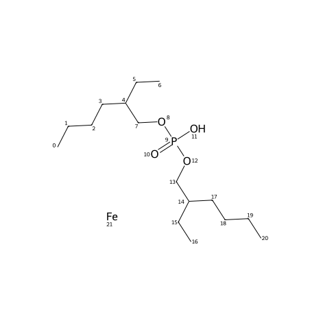 CCCCC(CC)COP(=O)(O)OCC(CC)CCCC.[Fe]